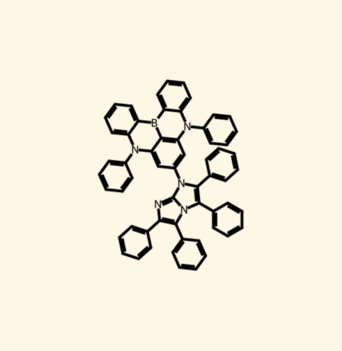 c1ccc(-c2nc3n(-c4cc5c6c(c4)N(c4ccccc4)c4ccccc4B6c4ccccc4N5c4ccccc4)c(-c4ccccc4)c(-c4ccccc4)n3c2-c2ccccc2)cc1